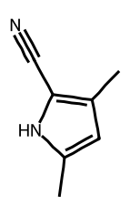 Cc1cc(C)c(C#N)[nH]1